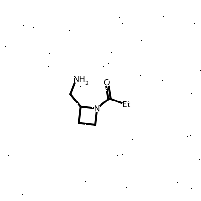 CCC(=O)N1CCC1CN